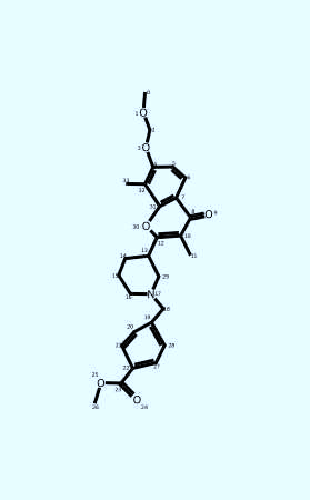 COCOc1ccc2c(=O)c(C)c(C3CCCN(Cc4ccc(C(=O)OC)cc4)C3)oc2c1C